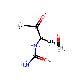 C=O.CC(=O)C(C)NC(N)=O